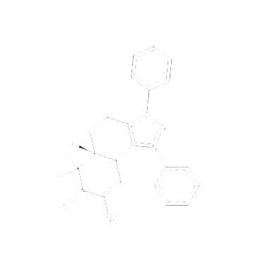 [C-]#[N+]C1=C[C@]2(C)c3c(c(-c4ccccc4)nn3-c3ccccc3)CC[C@H]2C(C)(C)C1=O